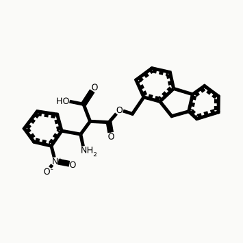 NC(c1ccccc1[N+](=O)[O-])C(C(=O)O)C(=O)OCc1cccc2c1Cc1ccccc1-2